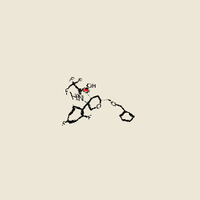 O=C(N[C@@]1(c2ccc(F)cc2F)CO[C@@H](COCc2ccccc2)C[C@H]1CO)C(F)(F)F